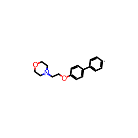 [c]1ccc(-c2ccc(OCCN3CCOCC3)cc2)cc1